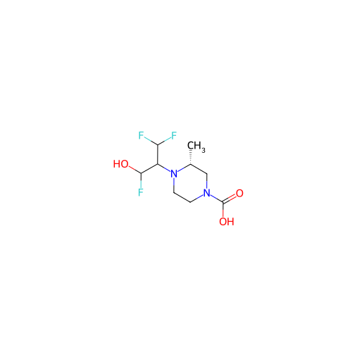 C[C@@H]1CN(C(=O)O)CCN1C(C(O)F)C(F)F